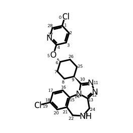 Clc1ccc(O[C@H]2CC[C@H](c3nnc4n3-c3ccc(Cl)cc3CNC4)CC2)nc1